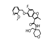 COc1ncccc1COc1cc2c(C(=O)NC3(CO)CCOCC3)c(C)oc2cc1F